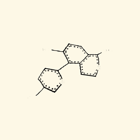 COc1nccc2c(-c3ccc(C)cn3)c(C)ccc12